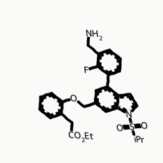 CCOC(=O)Cc1ccccc1OCc1cc(-c2cccc(CN)c2F)c2ccn(S(=O)(=O)C(C)C)c2c1